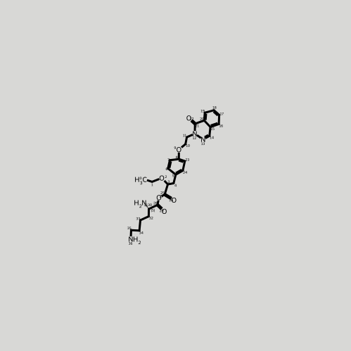 CCOC(Cc1ccc(OCCn2ncc3ccccc3c2=O)cc1)C(=O)OC(=O)[C@@H](N)CCCCN